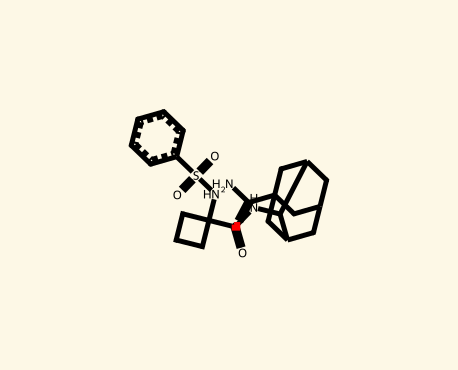 NC(=O)C12CC3CC(C1)C(NC(=O)C1(NS(=O)(=O)c4ccccc4)CCC1)C(C3)C2